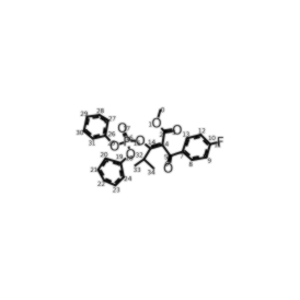 COC(=O)/C(C(=O)c1ccc(F)cc1)=C(\OP(=O)(Oc1ccccc1)Oc1ccccc1)C(C)C